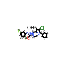 O=Cc1c(Cl)c(-c2ccccc2)n2c1CN(C(=O)Nc1cc(F)ccc1F)CC2